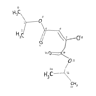 CC(C)OC(=O)/C=C(/Cl)C(=O)OC(C)C